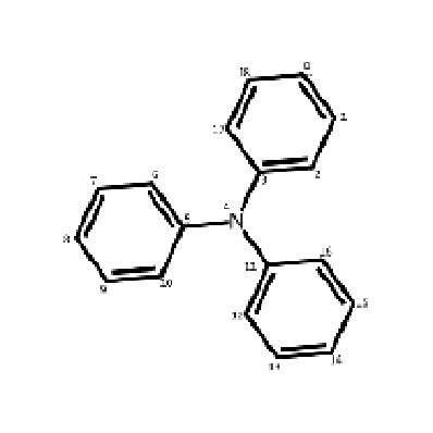 [c]1ccc(N(c2ccccc2)c2ccccc2)cc1